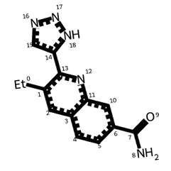 CCc1cc2ccc(C(N)=O)cc2nc1-c1cnn[nH]1